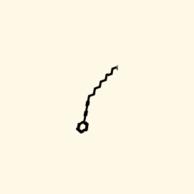 ICCCCCCCCCC#CC#Cc1ccccc1